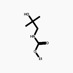 CCOC(=O)NCC(C)(C)O